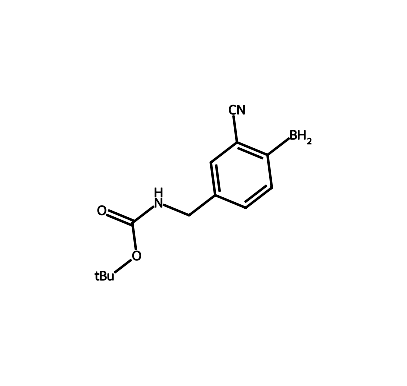 Bc1ccc(CNC(=O)OC(C)(C)C)cc1C#N